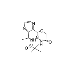 CC(N[S+]([O-])C(C)(C)C)c1nccnc1C1=NNC(=O)CO1